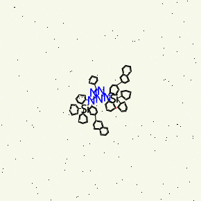 c1ccc(-c2nc(N3c4ccccc4[Si](c4ccccc4)(c4ccccc4)c4cc(-c5ccc6ccccc6c5)ccc43)nc(N3c4ccccc4[Si](c4ccccc4)(c4ccccc4)c4cc(-c5ccc6ccccc6c5)ccc43)n2)cc1